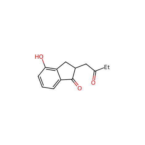 CCC(=O)CC1Cc2c(O)cccc2C1=O